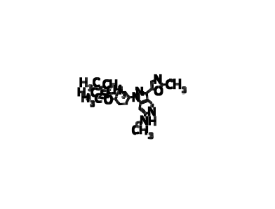 CCNc1cc2c(cn1)c(-c1cnc(C)o1)nn2C1CCC(O[Si](C)(C)C(C)(C)C)CC1